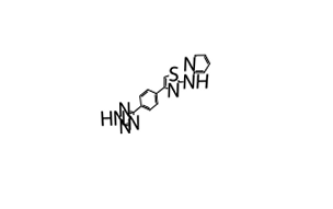 c1ccc(Nc2nc(-c3ccc(-c4nn[nH]n4)cc3)cs2)nc1